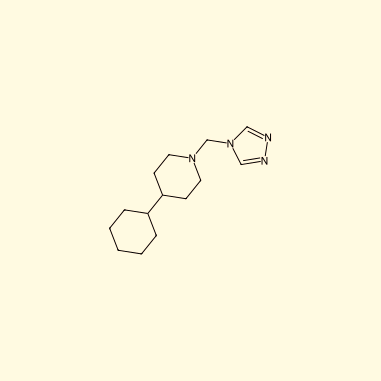 c1nncn1CN1CCC(C2CCCCC2)CC1